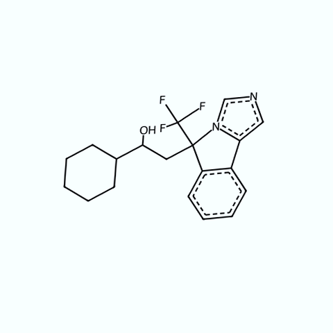 OC(CC1(C(F)(F)F)c2ccccc2-c2cncn21)C1CCCCC1